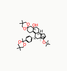 CC1(C)COC2(CCC3=C4[C@@H](CC[C@@]3(O)C2)[C@@H]2CC=C(O[Si](C)(C)C)[C@@]2(C)C[C@@H]4c2ccc(C3(C)OCC(C)(C)CO3)cc2)OC1